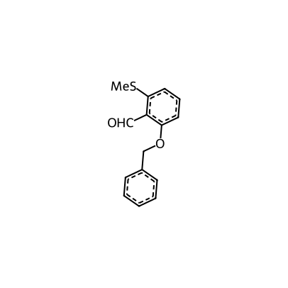 CSc1cccc(OCc2ccccc2)c1C=O